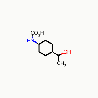 CC(O)[C@H]1CC[C@@H](NC(=O)O)CC1